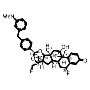 CNc1cccc(Cc2ccc([C@@H]3OC[C@@H]4C[C@H]5[C@@H]6C[C@H](F)C7=CC(=O)C=C[C@]7(C)[C@@]6(F)[C@@H](O)C[C@]5(C)[C@]4(C(=O)SCF)O3)cc2)c1